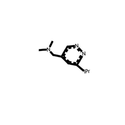 CC(C)c1cc(CN(C)C)cnn1